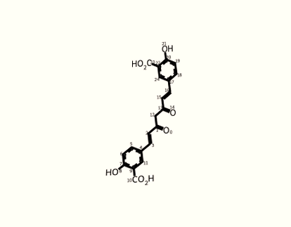 O=C(/C=C/c1ccc(O)c(C(=O)O)c1)CC(=O)/C=C/c1ccc(O)c(C(=O)O)c1